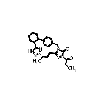 CCC=Cc1nn(C(=O)CC)c(=O)n1Cc1ccc(-c2ccccc2-c2nnn[nH]2)cc1